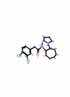 CN(C(=O)Cc1ccc(Cl)c(Cl)c1)C1CCCCCC1N1CCCC1